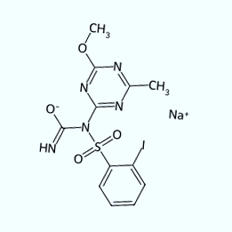 COc1nc(C)nc(N(C(=N)[O-])S(=O)(=O)c2ccccc2I)n1.[Na+]